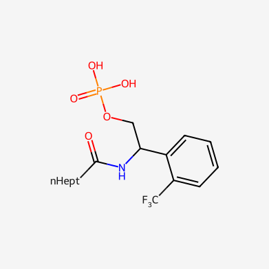 CCCCCCCC(=O)NC(COP(=O)(O)O)c1ccccc1C(F)(F)F